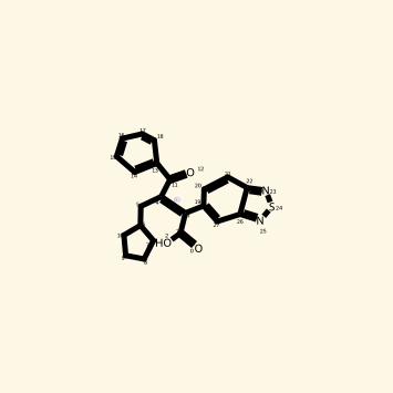 O=C(O)/C(=C(\CC1CCCC1)C(=O)c1ccccc1)c1ccc2nsnc2c1